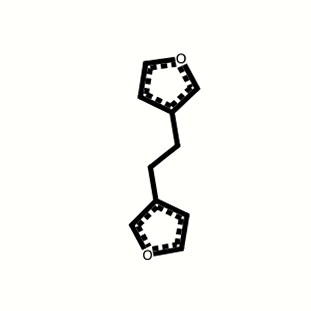 c1cc(CCc2ccoc2)co1